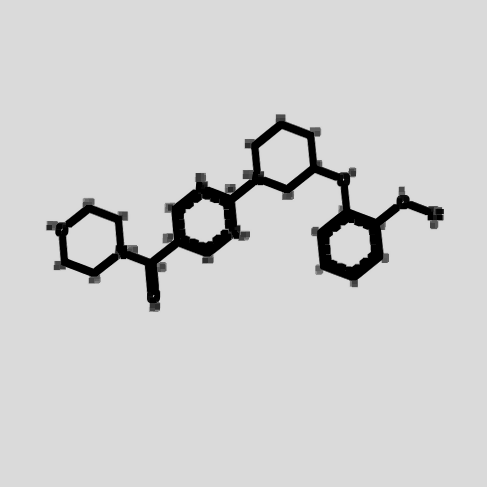 CCOc1ccccc1OC1CCCN(c2ncc(C(=O)N3CCOCC3)cn2)C1